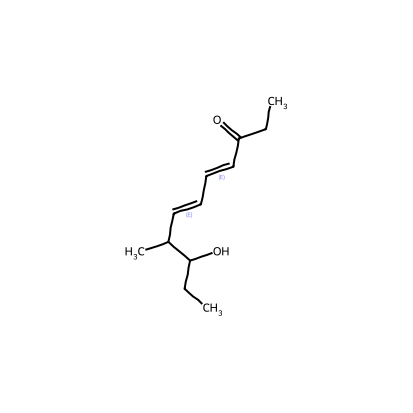 CCC(=O)/C=C/C=C/C(C)C(O)CC